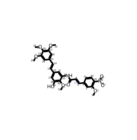 COc1cc(/C=C/C(=O)Nc2cc(C=Cc3cc(OC)c(OC)c(OC)c3)cc(O)c2OC)ccc1[N+](=O)[O-]